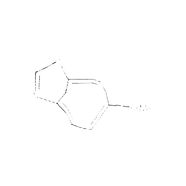 COc1ccc2n[c]sc2c1